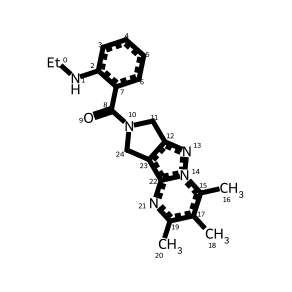 CCNc1ccccc1C(=O)N1Cc2nn3c(C)c(C)c(C)nc3c2C1